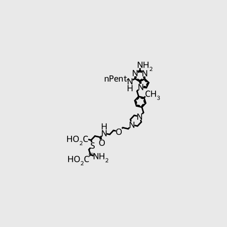 CCCCCNc1nc(N)nc2ccn(Cc3ccc(CN4CCN(CCOCCNC(=O)CC(SC[C@H](N)C(=O)O)C(=O)O)CC4)cc3C)c12